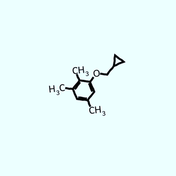 Cc1cc(C)c(C)c(OCC2CC2)c1